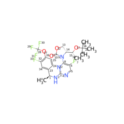 C[C@H](Nc1ncc(F)c(N2C(=O)OC[C@@H]2[C@@H](C)OC(C)(C)C)n1)c1ccc(OC(F)(F)F)c(F)c1